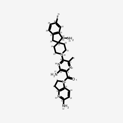 Cc1nc(C(=O)N2CCc3nc(N)ccc32)c(N)nc1N1CCC2(CC1)Cc1ccc(F)cc1[C@H]2N